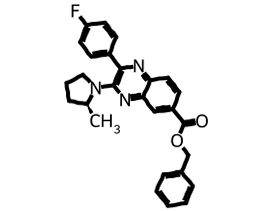 C[C@H]1CCCN1c1nc2cc(C(=O)OCc3ccccc3)ccc2nc1-c1ccc(F)cc1